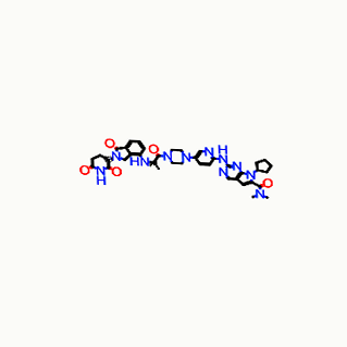 C[C@@H](Nc1cccc2c1CN([C@H]1CCC(=O)NC1=O)C2=O)C(=O)N1CCN(c2ccc(Nc3ncc4cc(C(=O)N(C)C)n(C5CCCC5)c4n3)nc2)CC1